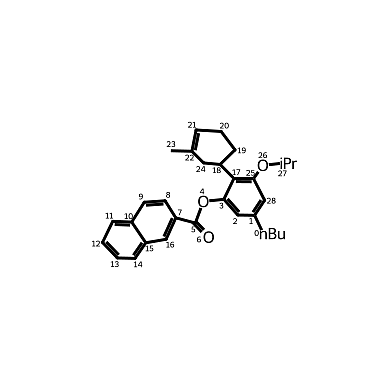 CCCCc1cc(OC(=O)c2ccc3ccccc3c2)c(C2CCC=C(C)C2)c(OC(C)C)c1